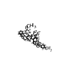 CO[C@@H]1CCN(c2nc(-c3c(C(F)(F)F)cnc4c3ccn4S(=O)(=O)c3ccc(C)cc3)nc3c2CN(Cc2ccccc2)CC3)[C@H](C)C1